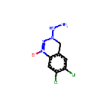 NNN1Cc2cc(Cl)c(Cl)cc2[N+]([O-])=N1